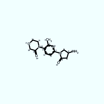 Cc1nc(N2CC(N)CC2=O)ccc1N1CCOCC1=O